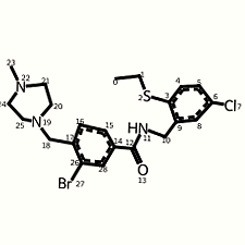 CCSc1ccc(Cl)cc1CNC(=O)c1ccc(CN2CCN(C)CC2)c(Br)c1